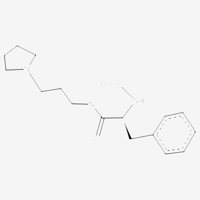 O=C(O)N[C@@H](Cc1ccccc1)C(=O)NCCCN1CCCC1